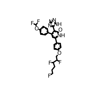 O=c1[nH]c(-c2ccc(OCC(F)C(F)CCCF)cc2)cc(-c2ccc(OC(F)F)cc2)c1-c1nnn[nH]1